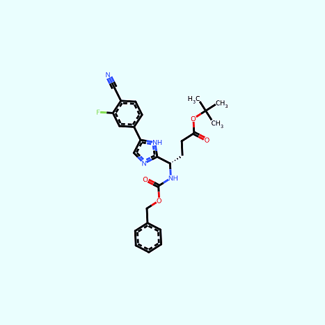 CC(C)(C)OC(=O)CC[C@H](NC(=O)OCc1ccccc1)c1ncc(-c2ccc(C#N)c(F)c2)[nH]1